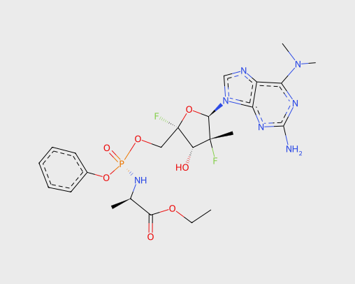 CCOC(=O)[C@@H](C)N[P@](=O)(OC[C@@]1(F)O[C@@H](n2cnc3c(N(C)C)nc(N)nc32)[C@](C)(F)[C@@H]1O)Oc1ccccc1